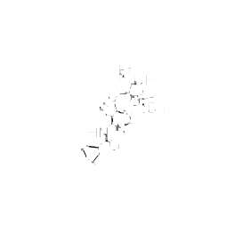 CCC1CC(n2cnc3c(NC(=O)c4ccccc4)ncnc32)C(O[Si](C)(C)C(C)(C)C)C1O